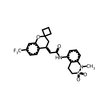 CN1c2cccc(NC(=O)/C=C3\CC4(CCC4)Oc4cc(C(F)(F)F)ccc43)c2CCS1(=O)=O